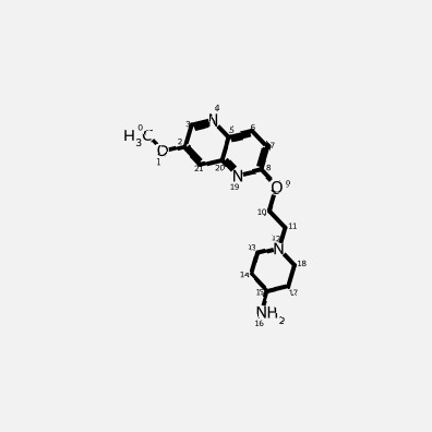 COc1cnc2ccc(OCCN3CCC(N)CC3)nc2c1